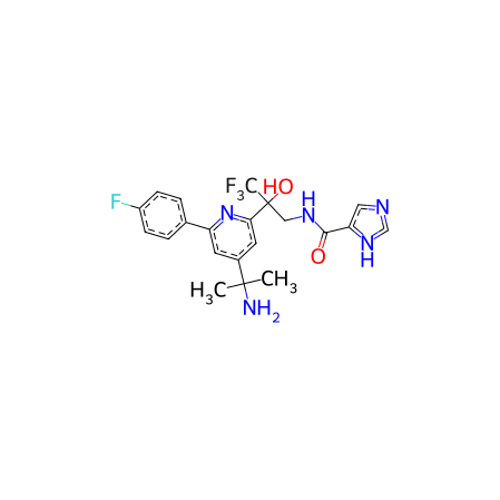 CC(C)(N)c1cc(-c2ccc(F)cc2)nc(C(O)(CNC(=O)c2cnc[nH]2)C(F)(F)F)c1